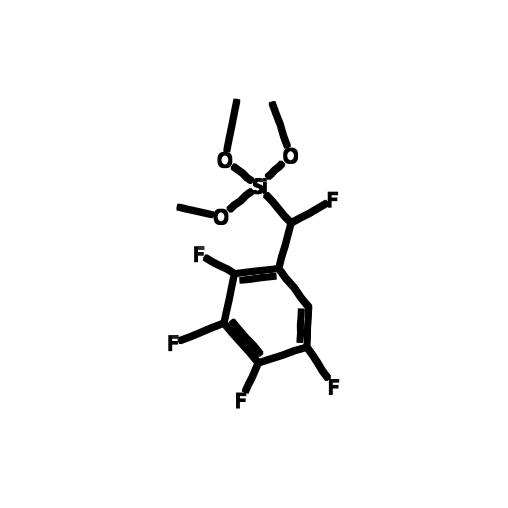 CO[Si](OC)(OC)C(F)c1cc(F)c(F)c(F)c1F